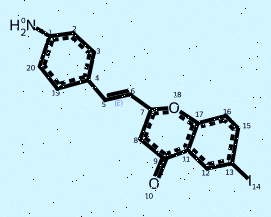 Nc1ccc(/C=C/c2cc(=O)c3cc(I)ccc3o2)cc1